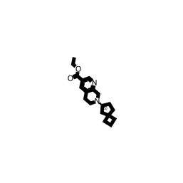 CCOC(=O)c1cnc2c(c1)CCN([C@H]1CCC3(CCC3)C1)C2